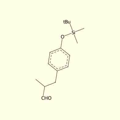 CC(C=O)Cc1ccc(O[Si](C)(C)C(C)(C)C)cc1